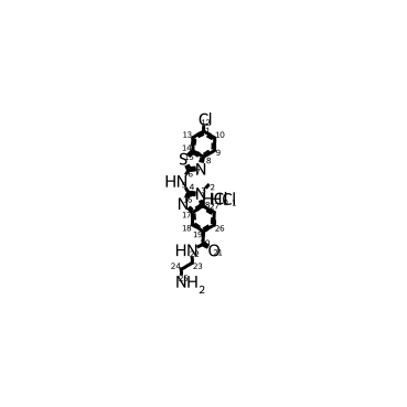 Cl.Cl.Cn1c(Nc2nc3ccc(Cl)cc3s2)nc2cc(C(=O)NCCN)ccc21